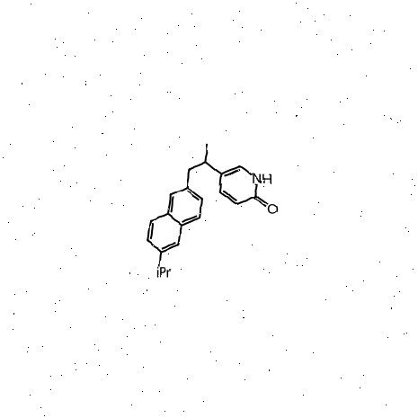 CC(C)c1ccc2cc(CC(C)c3ccc(=O)[nH]c3)ccc2c1